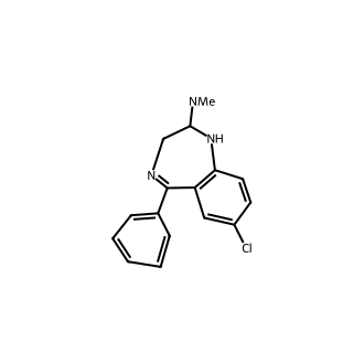 CNC1CN=C(c2ccccc2)c2cc(Cl)ccc2N1